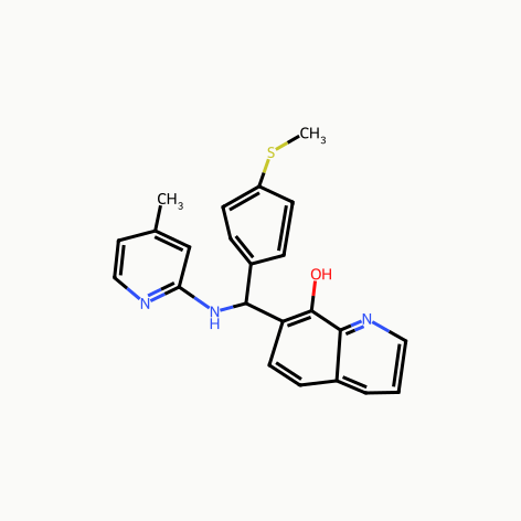 CSc1ccc(C(Nc2cc(C)ccn2)c2ccc3cccnc3c2O)cc1